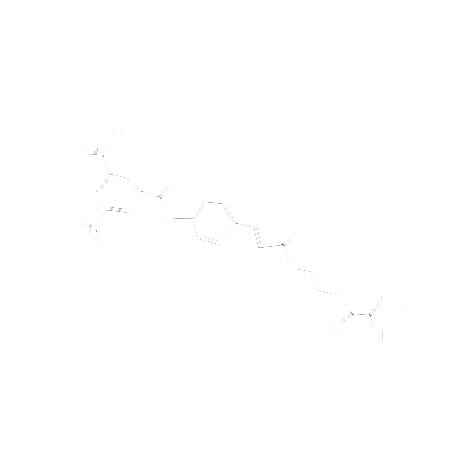 C=C(C)C(=O)OCCOC(=O)/C=C/c1ccc(OC(=O)c2cc([N+](=O)[O-])cc([N+](=O)[O-])c2)cc1